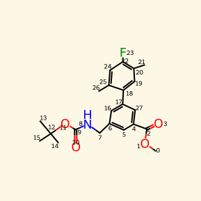 COC(=O)c1cc(CNC(=O)OC(C)(C)C)cc(-c2cc(C)c(F)cc2C)c1